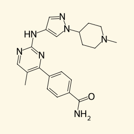 Cc1cnc(Nc2cnn(C3CCN(C)CC3)c2)nc1-c1ccc(C(N)=O)cc1